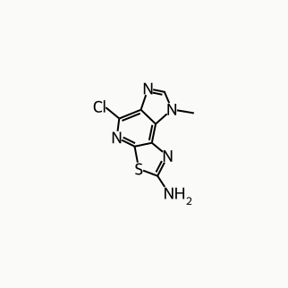 Cn1cnc2c(Cl)nc3sc(N)nc3c21